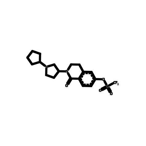 O=C1c2ccc(OS(=O)(=O)C(F)(F)F)cc2CCN1C1CCN(C2CCCC2)C1